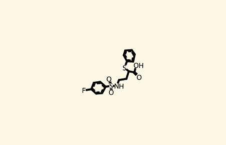 O=C(O)C(CCNS(=O)(=O)c1ccc(F)cc1)Sc1ccccc1